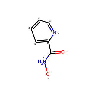 O=C([NH2+][O-])c1ccccn1